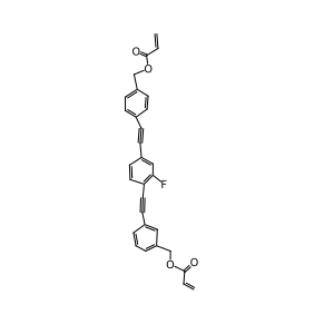 C=CC(=O)OCc1ccc(C#Cc2ccc(C#Cc3cccc(COC(=O)C=C)c3)c(F)c2)cc1